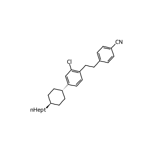 CCCCCCC[C@H]1CC[C@H](c2ccc(CCc3ccc(C#N)cc3)c(Cl)c2)CC1